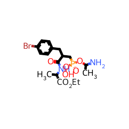 CCOC(=O)C(C)NC(=O)C(Cc1ccc(Br)cc1)CP(=O)(OO)OC(C)N